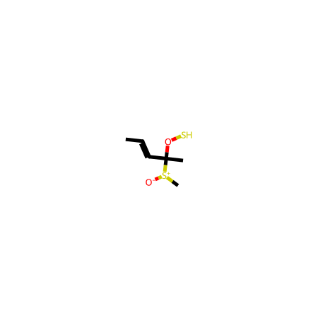 CC=CC(C)(OS)[S+](C)[O-]